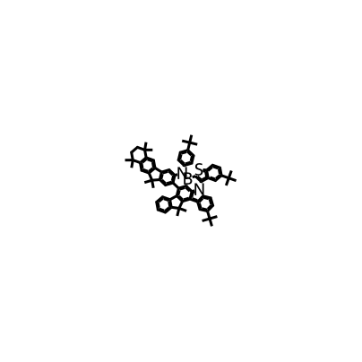 CC(C)(C)c1ccc(N2B3c4sc5ccc(C(C)(C)C)cc5c4-n4c5ccc(C(C)(C)C)cc5c5c6c(c(c3c54)-c3cc4c(cc32)-c2cc3c(cc2C4(C)C)C(C)(C)CCC3(C)C)-c2ccccc2C6(C)C)cc1